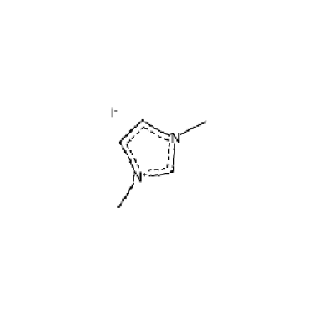 Cn1cc[n+](C)c1.[I-]